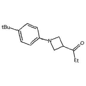 CCC(=O)C1CN(c2ccc(C(C)(C)C)cc2)C1